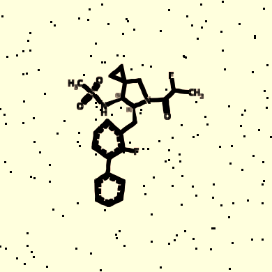 CC(F)C(=O)N1CC2(CC2)[C@H](NS(C)(=O)=O)[C@@H]1Cc1cccc(-c2ccccc2)c1F